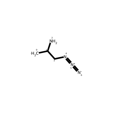 [CH2]C(N)CN=[N+]=[N-]